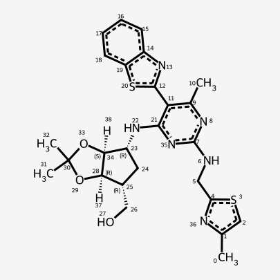 Cc1csc(CNc2nc(C)c(-c3nc4ccccc4s3)c(N[C@@H]3C[C@H](CO)[C@H]4OC(C)(C)O[C@H]43)n2)n1